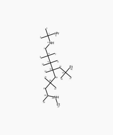 CCCC(C)(C)NCC(C)(C)C(C)(C)C(C)(CC(C)(C)CC)CC(C)(C)CC(C)NCC